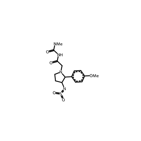 CNC(=O)NC(=O)CN1CCC(N=S(=O)=O)C1c1ccc(OC)cc1